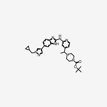 CC(c1ccnc(Nc2nc3ccc(-c4cnn(CC5CC5)c4)cc3[nH]2)c1)N1CCN(C(=O)OC(C)(C)C)CC1